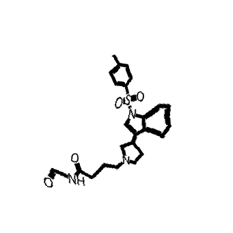 Cc1ccc(S(=O)(=O)n2cc(C3CCN(CCCC(=O)NC=O)C3)c3ccccc32)cc1